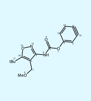 COCc1c(NC(=O)Oc2cc#ccc2)noc1C(C)(C)C